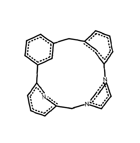 c1cc2cc(c1)-c1cccc(n1)C[n+]1ccn(c1)-c1cccc(c1)C2